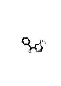 CN1C=CN=C(C(=O)c2cc[c]cc2)C1